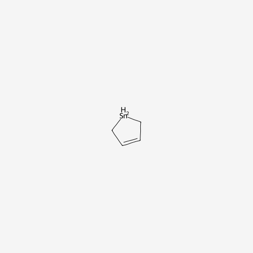 C1=C[CH2][SnH2][CH2]1